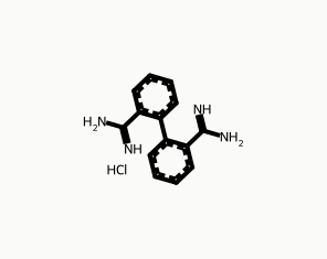 Cl.N=C(N)c1ccccc1-c1ccccc1C(=N)N